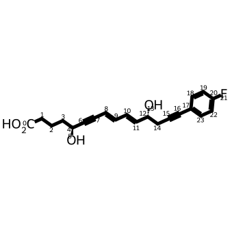 O=C(O)CCC[C@H](O)C#C/C=C/C=C/[C@H](O)CC#Cc1ccc(F)cc1